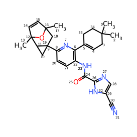 CC1(C)CC=C(c2nc(C34CC3C3(C)C=CC(C)(C4)O3)ccc2NC(=O)c2ncc(C#N)[nH]2)CC1